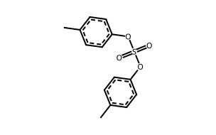 Cc1ccc(OS(=O)(=O)Oc2ccc(C)cc2)cc1